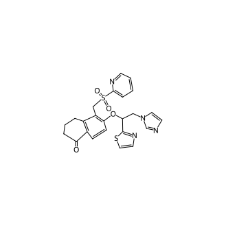 O=C1CCCc2c1ccc(OC(Cn1ccnc1)c1nccs1)c2CS(=O)(=O)c1ccccn1